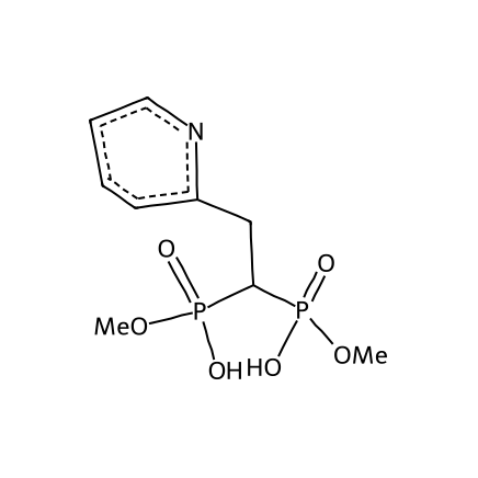 COP(=O)(O)C(Cc1ccccn1)P(=O)(O)OC